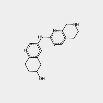 OC1CCc2ncc(Nc3ncc4c(n3)CNCC4)cc2C1